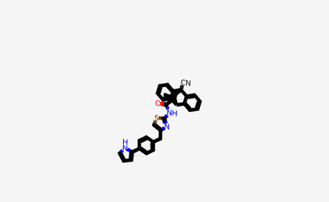 CC1(C(=O)Nc2nc(Cc3ccc(-c4ccc[nH]4)cc3)cs2)CC2(C#N)c3ccccc3C1c1ccccc12